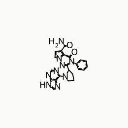 NC(=O)c1ccn2nc(C3CCCN3c3ncnc4[nH]cnc34)n(-c3ccccc3)c(=O)c12